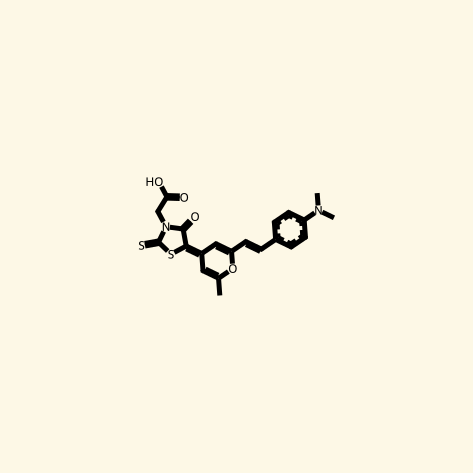 CC1=C/C(=C2\SC(=S)N(CC(=O)O)C2=O)C=C(/C=C/c2ccc(N(C)C)cc2)O1